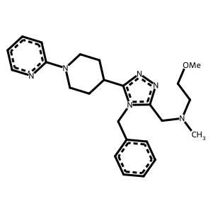 COCCN(C)Cc1nnc(C2CCN(c3ccccn3)CC2)n1Cc1ccccc1